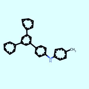 Cc1ccc(Nc2ccc(-c3cc(-c4ccccc4)cc(-c4ccccc4)c3)cc2)cc1